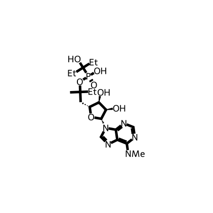 CCC(C)(C[C@H]1O[C@@H](n2cnc3c(NC)ncnc32)[C@H](O)[C@@H]1O)OP(=O)(O)C(O)(CC)CC